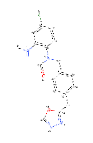 CNc1cc(Cl)ccc1N(C=O)Cc1ccc(Cc2nnco2)cc1